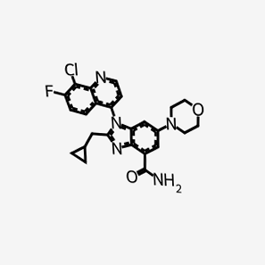 NC(=O)c1cc(N2CCOCC2)cc2c1nc(CC1CC1)n2-c1ccnc2c(Cl)c(F)ccc12